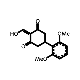 COc1cccc(OC)c1C1CC(=O)C(=CO)C(=O)C1